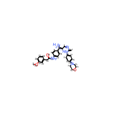 C=C(/N=C\C=C(/N)c1ccc(NC(=O)Cc2cccc(OC)c2)cc1)Nc1ccc(N2CCOCC2)cc1